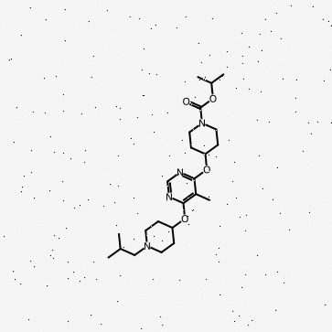 Cc1c(OC2CCN(CC(C)C)CC2)ncnc1OC1CCN(C(=O)OC(C)C)CC1